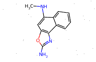 CNc1cc2oc(N)nc2c2ccccc12